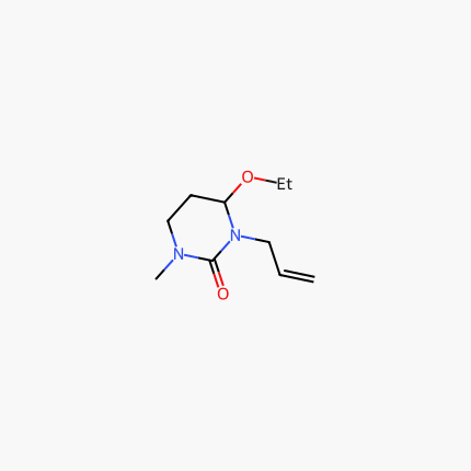 C=CCN1C(=O)N(C)CCC1OCC